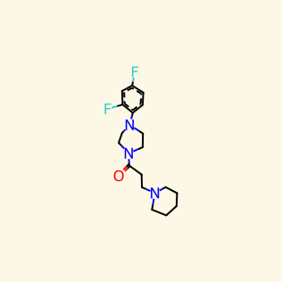 O=C(CCN1CCCCC1)N1CCN(c2ccc(F)cc2F)CC1